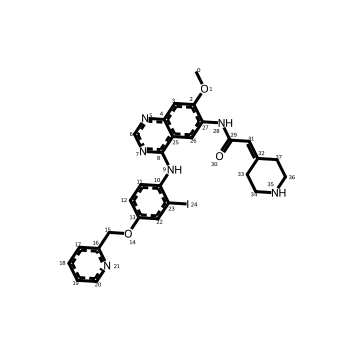 COc1cc2ncnc(Nc3ccc(OCc4ccccn4)cc3I)c2cc1NC(=O)C=C1CCNCC1